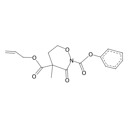 C=CCOC(=O)C1(C)CCON(C(=O)Oc2ccccc2)C1=O